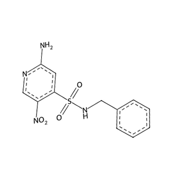 Nc1cc(S(=O)(=O)NCc2ccccc2)c([N+](=O)[O-])cn1